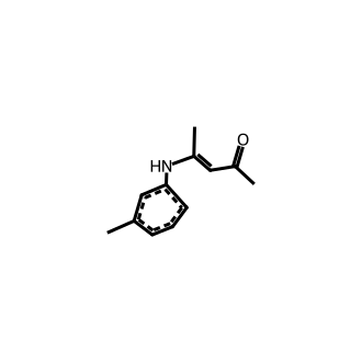 CC(=O)C=C(C)Nc1cccc(C)c1